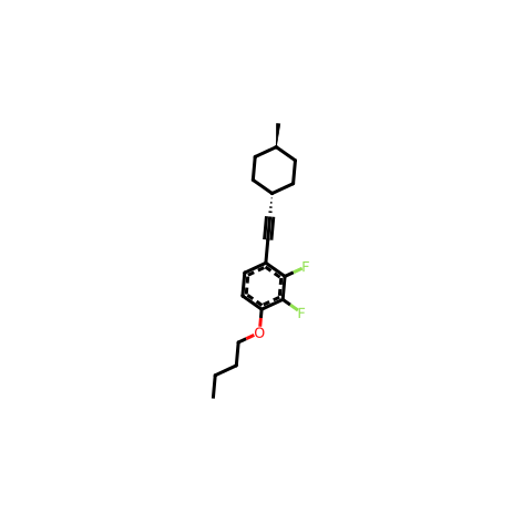 CCCCOc1ccc(C#C[C@H]2CC[C@H](C)CC2)c(F)c1F